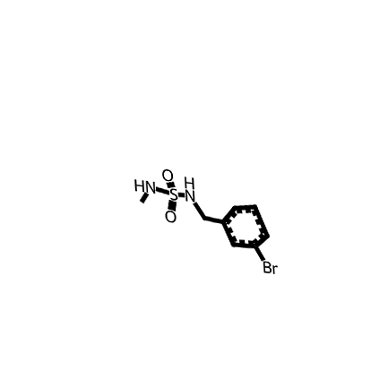 CNS(=O)(=O)NCc1cccc(Br)c1